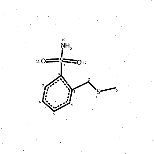 CSCc1ccccc1S(N)(=O)=O